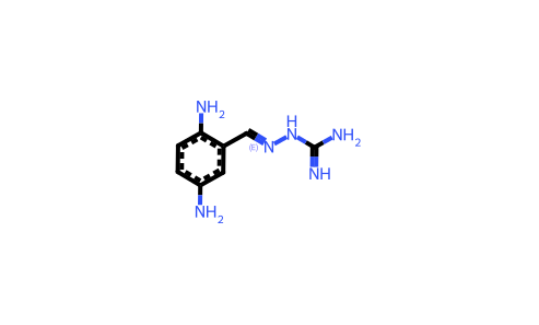 N=C(N)N/N=C/c1cc(N)ccc1N